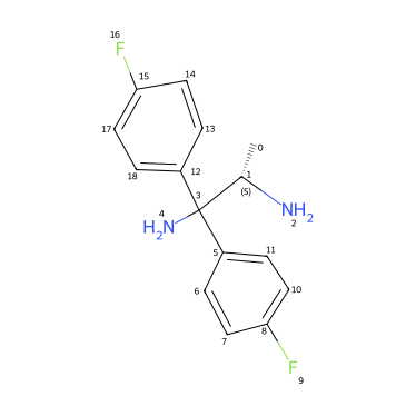 C[C@H](N)C(N)(c1ccc(F)cc1)c1ccc(F)cc1